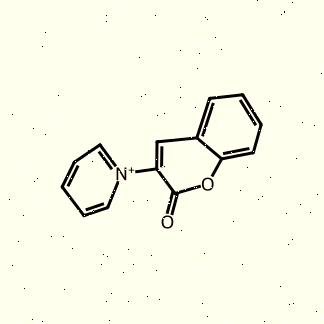 O=c1oc2ccccc2cc1-[n+]1ccccc1